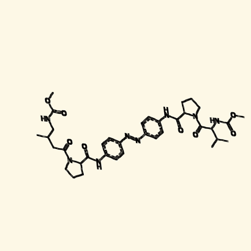 COC(=O)NCC(C)CC(=O)N1CCCC1C(=O)Nc1ccc(N=Nc2ccc(NC(=O)C3CCCN3C(=O)C(NC(=O)OC)C(C)C)cc2)cc1